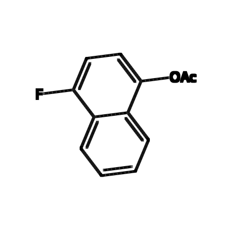 CC(=O)Oc1ccc(F)c2ccccc12